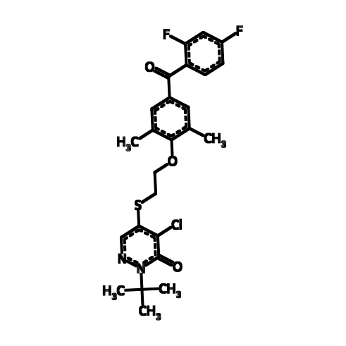 Cc1cc(C(=O)c2ccc(F)cc2F)cc(C)c1OCCSc1cnn(C(C)(C)C)c(=O)c1Cl